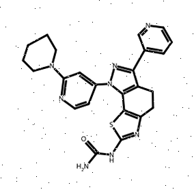 NC(=O)Nc1nc2c(s1)-c1c(c(-c3cccnc3)nn1-c1ccnc(N3CCCCC3)c1)CC2